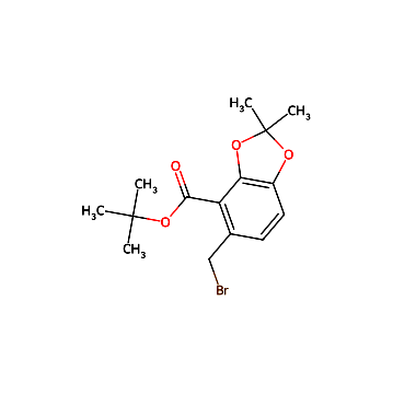 CC(C)(C)OC(=O)c1c(CBr)ccc2c1OC(C)(C)O2